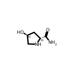 NC(=O)[C@H]1C[C@H](O)CN1